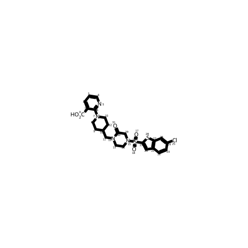 O=C(O)c1cccnc1N1CCC(CN2CCN(S(=O)(=O)c3cc4ccc(Cl)cc4s3)CC2=O)CC1